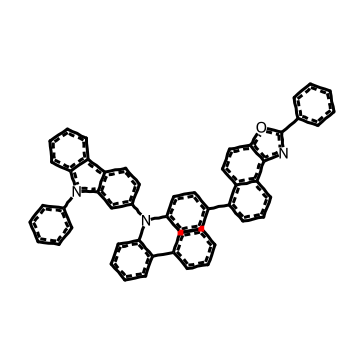 c1ccc(-c2nc3c(ccc4c(-c5ccc(N(c6ccc7c8ccccc8n(-c8ccccc8)c7c6)c6ccccc6-c6ccccc6)cc5)cccc43)o2)cc1